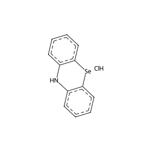 Cl.c1ccc2c(c1)Nc1ccccc1[Se]2